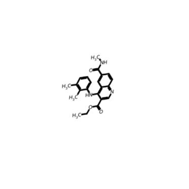 CCOC(=O)c1cnc2ccc(C(=O)NC)cc2c1Nc1cccc(C)c1C